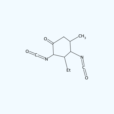 CCC1C(N=C=O)C(=O)CC(C)C1N=C=O